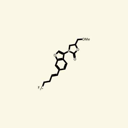 COCC1CN(c2coc3cc(C=CCCC(F)(F)F)ccc23)C(=O)O1